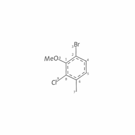 COc1c(Br)ccc(C)c1Cl